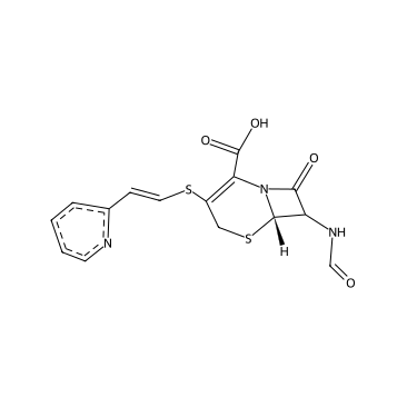 O=CNC1C(=O)N2C(C(=O)O)=C(S/C=C/c3ccccn3)CS[C@@H]12